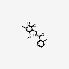 CSc1cc(C)[nH]c(=O)c1CNC(=O)c1ccccc1C